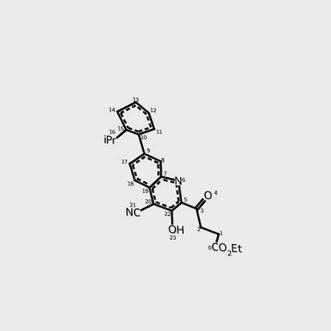 CCOC(=O)CCC(=O)c1nc2cc(-c3ccccc3C(C)C)ccc2c(C#N)c1O